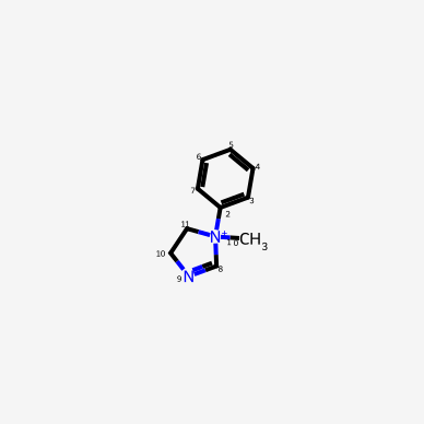 C[N+]1(c2ccccc2)C=NCC1